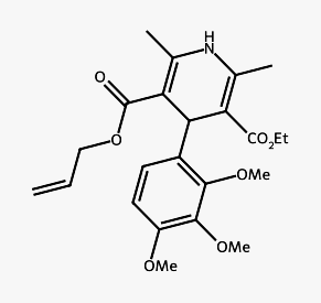 C=CCOC(=O)C1=C(C)NC(C)=C(C(=O)OCC)C1c1ccc(OC)c(OC)c1OC